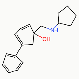 OC1(CNC2CCCC2)C=CC=C(c2ccccc2)C1